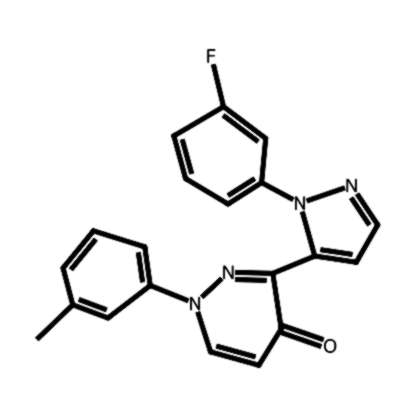 Cc1cccc(-n2ccc(=O)c(-c3ccnn3-c3cccc(F)c3)n2)c1